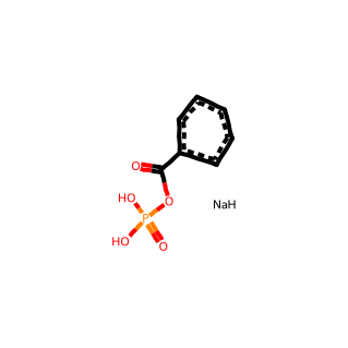 O=C(OP(=O)(O)O)c1ccccc1.[NaH]